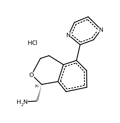 Cl.NC[C@@H]1OCCc2c(-c3cnccn3)cccc21